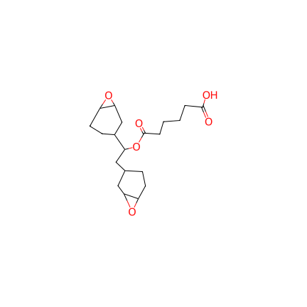 O=C(O)CCCCC(=O)OC(CC1CCC2OC2C1)C1CCC2OC2C1